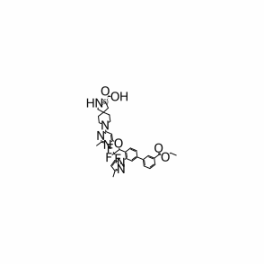 CCOC(=O)c1cccc(-c2ccc(C(Oc3cc(N4CCC5(CC4)CN[C@H](C(=O)O)C5)nc(C)n3)C(F)(F)F)c(-n3ccc(C)n3)c2)c1